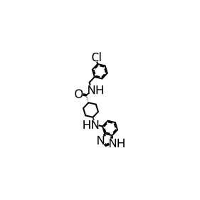 O=C(NCc1cccc(Cl)c1)[C@H]1CC[C@H](Nc2cccc3[nH]cnc23)CC1